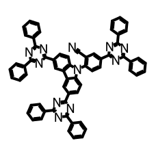 N#Cc1cc(-c2nc(-c3ccccc3)nc(-c3ccccc3)n2)ccc1-n1c2ccc(-c3nc(-c4ccccc4)nc(-c4ccccc4)n3)cc2c2cc(-c3nc(-c4ccccc4)nc(-c4ccccc4)n3)ccc21